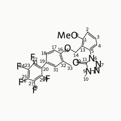 COc1cccc(-n2nnn(C)c2=O)c1COc1ccc(-c2c(F)c(F)c(F)c(F)c2F)cc1C